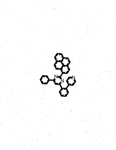 c1ccc(-c2cc(-c3ccccc3-c3ccncc3)nc(-c3ccc4ccc5cccc6ccc3c4c56)n2)cc1